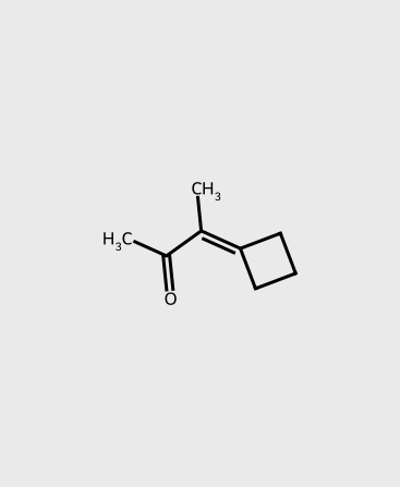 CC(=O)C(C)=C1CCC1